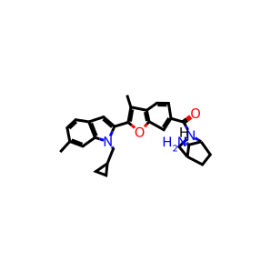 Cc1ccc2cc(-c3oc4cc(C(=O)N5CC6CCC5[C@@H]6N)ccc4c3C)n(CC3CC3)c2c1